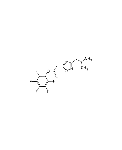 CC(C)Cc1cc(CC(=O)Oc2c(F)c(F)c(F)c(F)c2F)on1